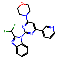 FC(F)c1nc2ccccc2n1-c1nc(-c2cccnc2)cc(N2CCOCC2)n1